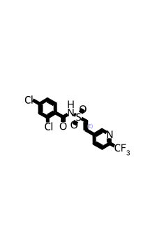 O=C(NS(=O)(=O)/C=C/c1ccc(C(F)(F)F)nc1)c1ccc(Cl)cc1Cl